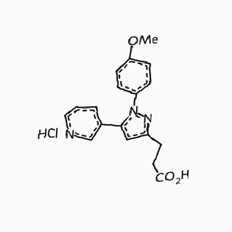 COc1ccc(-n2nc(CCC(=O)O)cc2-c2cccnc2)cc1.Cl